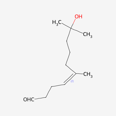 C/C(=C/CCC=O)CCCC(C)(C)O